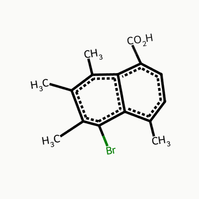 Cc1c(C)c(Br)c2c(C)ccc(C(=O)O)c2c1C